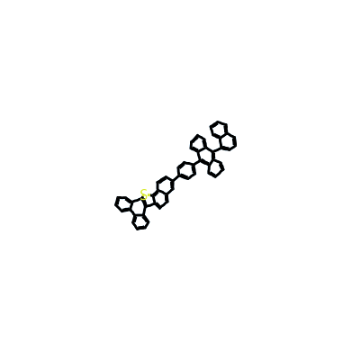 c1ccc2c(-c3c4ccccc4c(-c4ccc(-c5ccc6c(ccc7c6sc6c8ccccc8c8ccccc8c76)c5)cc4)c4ccccc34)cccc2c1